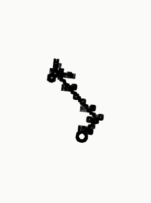 CCCCc1nc2c(N)nc3ccccc3c2n1CCCCNC(=O)CCOCCOCCNC(=O)CCN1C(=O)CC(SCC(=O)NC2CCCCCCCC2)C1=O